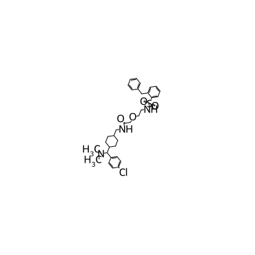 CN(C)C(c1ccc(Cl)cc1)C1CCC(CNC(=O)COCCNS(=O)(=O)c2ccccc2Cc2ccccc2)CC1